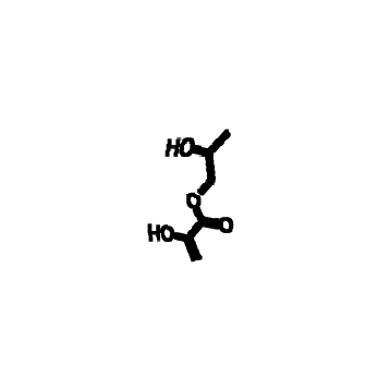 C=C(O)C(=O)OCC(C)O